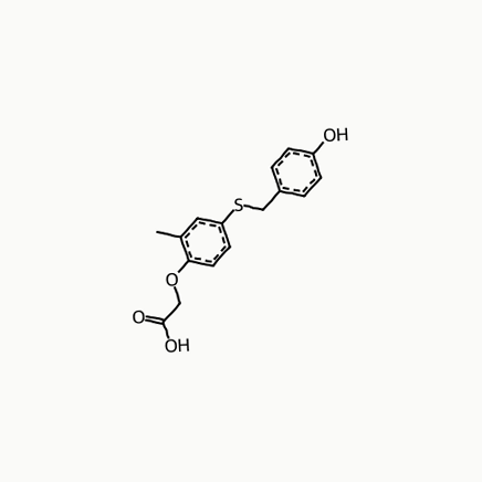 Cc1cc(SCc2ccc(O)cc2)ccc1OCC(=O)O